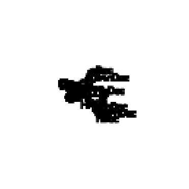 CCCCCCCCCCCCCC(=O)O[C@H](CCCCCCCCCCC)CC(=O)NCCO[C@@H]1O[C@H](CO)[C@@H](OP(=O)(Oc2ccccc2)Oc2ccccc2)[C@H](OC(=O)C[C@@H](CCCCCCCCCCC)OC(=O)CCCCCCCCCCCCC)[C@H]1NC(=O)C[C@@H](CCCCCCCCCCC)OC(=O)CCCCCCCCCCCCC